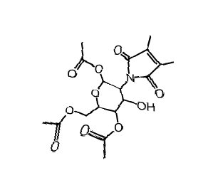 CC(=O)OCC1OC(OC(C)=O)C(N2C(=O)C(C)=C(C)C2=O)C(O)C1OC(C)=O